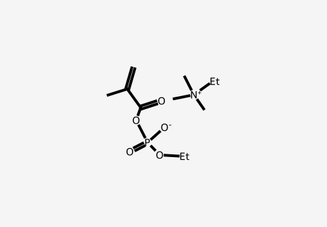 C=C(C)C(=O)OP(=O)([O-])OCC.CC[N+](C)(C)C